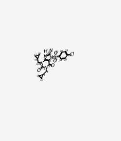 Nc1nc2c(c(=O)n(CC3CC3)c(=O)n2CC2CC2)n1S(=O)(=O)c1ccc(Cl)cc1